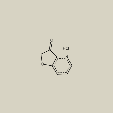 Cl.O=C1COc2cccnc21